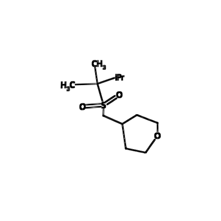 CC(C)C(C)(C)S(=O)(=O)CC1CCOCC1